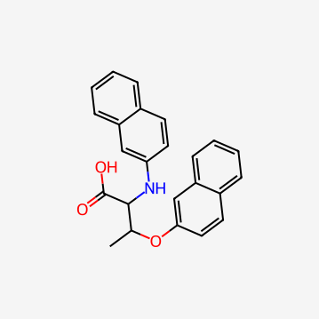 CC(Oc1ccc2ccccc2c1)C(Nc1ccc2ccccc2c1)C(=O)O